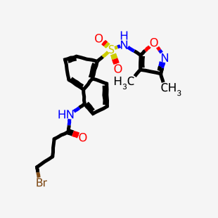 Cc1noc(NS(=O)(=O)c2cccc3c(NC(=O)CCCBr)cccc23)c1C